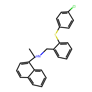 CC(NCc1ccccc1Sc1ccc(Cl)cc1)c1cccc2ccccc12